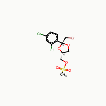 CS(=O)(=O)OC[C@H]1CO[C@@](CBr)(c2ccc(Cl)cc2Cl)O1